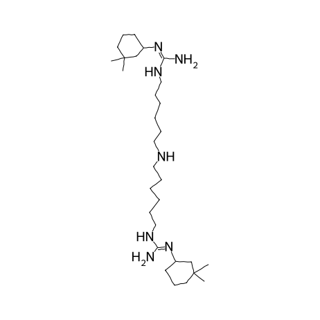 CC1(C)CCCC(N=C(N)NCCCCCCNCCCCCCNC(N)=NC2CCCC(C)(C)C2)C1